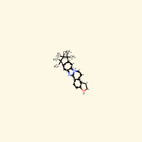 CC1(C)c2cc3nc4c5ccc6c(c5ccn4c3cc2C(C)(C)C1(C)C)CCO6